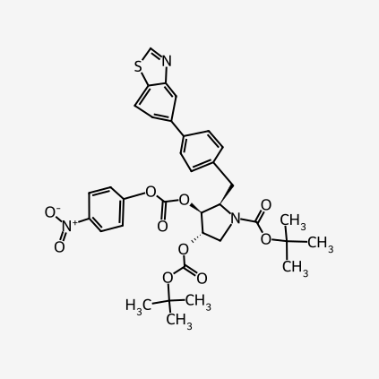 CC(C)(C)OC(=O)O[C@H]1CN(C(=O)OC(C)(C)C)[C@H](Cc2ccc(-c3ccc4scnc4c3)cc2)[C@@H]1OC(=O)Oc1ccc([N+](=O)[O-])cc1